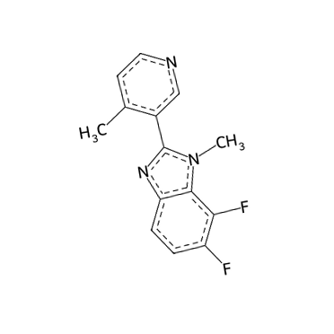 Cc1ccncc1-c1nc2ccc(F)c(F)c2n1C